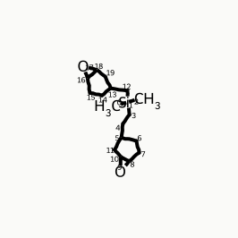 C[Si](C)(CCC1CCC2OC2C1)CC1CCC2OC2C1